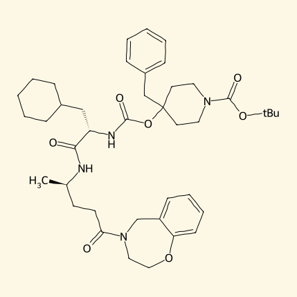 C[C@H](CCC(=O)N1CCOc2ccccc2C1)NC(=O)[C@H](CC1CCCCC1)NC(=O)OC1(Cc2ccccc2)CCN(C(=O)OC(C)(C)C)CC1